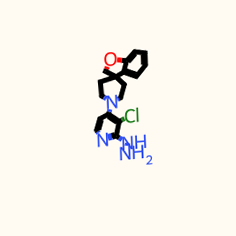 NNc1nccc(N2CCC3(CC2)COc2ccccc23)c1Cl